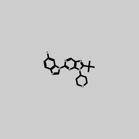 CC(C)(C)c1nc2cnc(-n3cnc4ccc(F)cc43)nc2n1C1CCOCC1